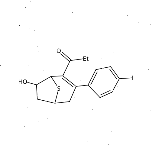 CCC(=O)C1=C(c2ccc(I)cc2)CC2CC(O)C1S2